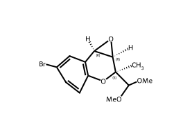 COC(OC)[C@@]1(C)Oc2ccc(Br)cc2[C@H]2O[C@H]21